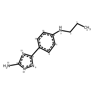 CCCNc1ccc(-c2nnc(N)s2)cc1